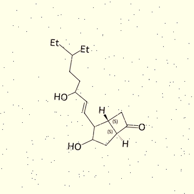 CCC(CC)CCC(O)C=CC1C(O)C[C@@H]2C(=O)C[C@@H]12